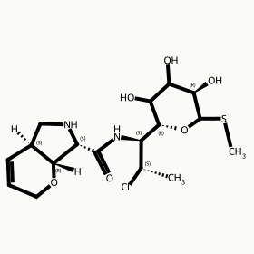 CSC1O[C@H]([C@H](NC(=O)[C@H]2NC[C@@H]3C=CCO[C@@H]23)[C@H](C)Cl)C(O)C(O)[C@H]1O